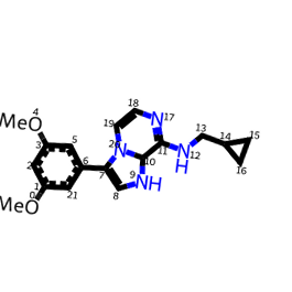 COc1cc(OC)cc(C2=CNC3C(NCC4CC4)=NC=CN23)c1